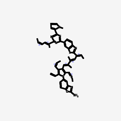 Bc1nc2cc(-n3c(C=C)c(/C=C\C)c(/C=C(C)/C(C)=C/C(=C\C)c4nc5ccc(-c6nc(C7=CC=CB7C)nc(/C(C)=C/C=C\C)n6)cc5s4)c3/C=B\C)ccc2o1